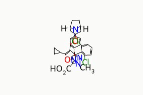 Cn1nc(-c2ccc(N3[C@@H]4CC[C@H]3CC(OCc3c(-c5c(Cl)cccc5Cl)noc3C3CC3)C4)cc2)cc1C(=O)O